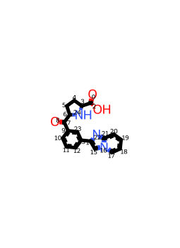 O=C(O)C1CCC(C(=O)c2cccc(-c3cn4ccccc4n3)c2)N1